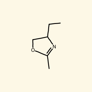 CCC1COC(C)=N1